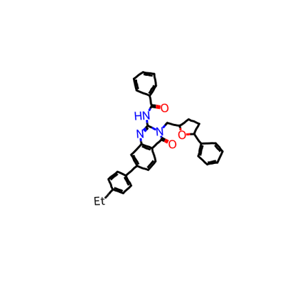 CCc1ccc(-c2ccc3c(=O)n(CC4CCC(c5ccccc5)O4)c(NC(=O)c4ccccc4)nc3c2)cc1